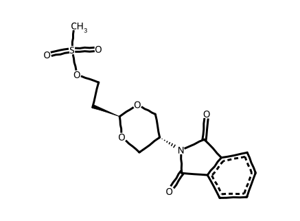 CS(=O)(=O)OCC[C@H]1OC[C@H](N2C(=O)c3ccccc3C2=O)CO1